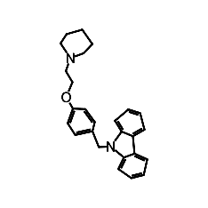 c1ccc2c(c1)c1ccccc1n2Cc1ccc(OCCN2CCCCC2)cc1